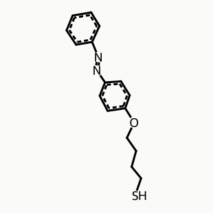 SCCCCOc1ccc(/N=N/c2ccccc2)cc1